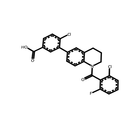 O=C(O)c1ccc(Cl)c(-c2ccc3c(c2)CCCN3C(=O)c2c(F)cccc2Cl)c1